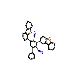 N#Cc1c(-c2ccccc2)cc(-c2cccc3c2sc2ccccc23)c(C#N)c1-c1ccc2sc3ccccc3c2c1